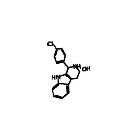 Cl.Clc1ccc(C2NCCc3c2[nH]c2ccccc32)cc1